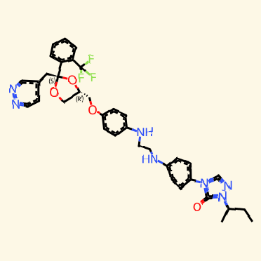 CCC(C)n1ncn(-c2ccc(NCCNc3ccc(OC[C@@H]4CO[C@](Cc5ccnnc5)(c5ccccc5C(F)(F)F)O4)cc3)cc2)c1=O